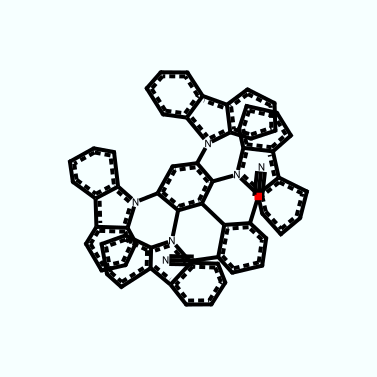 N#Cc1cccc(C#N)c1-c1c(-n2c3ccccc3c3ccccc32)c(-n2c3ccccc3c3ccccc32)cc(-n2c3ccccc3c3ccccc32)c1-n1c2ccccc2c2ccccc21